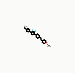 CCc1ccc(-c2ccc(C3CCC(CCC4CCC(OC)C=C4F)CC3)c(F)c2F)cc1